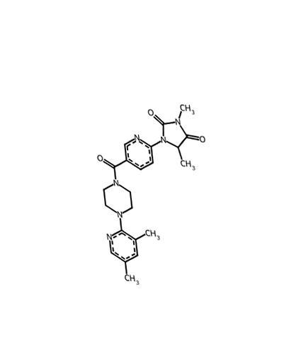 Cc1cnc(N2CCN(C(=O)c3ccc(N4C(=O)N(C)C(=O)C4C)nc3)CC2)c(C)c1